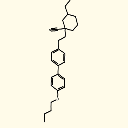 CCCCOc1ccc(-c2ccc(CCC3(C#N)CCCC(CC)C3)cc2)cc1